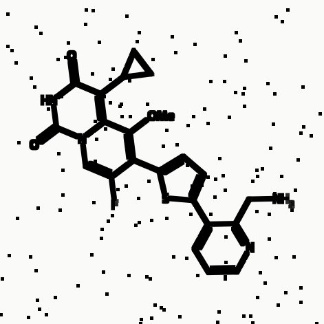 COc1c(-c2ccc(-c3cccnc3CN)s2)c(F)cn2c(=O)[nH]c(=O)c(C3CC3)c12